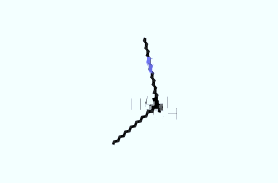 CCCCCC/C=C/C=C/CCCCCCCC(=O)N[C@@H](CO)[C@H](O)CCCCCCCCCCCCCCC